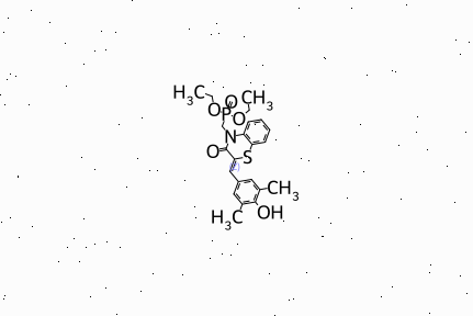 CCOP(=O)(CN1C(=O)/C(=C/c2cc(C)c(O)c(C)c2)Sc2ccccc21)OCC